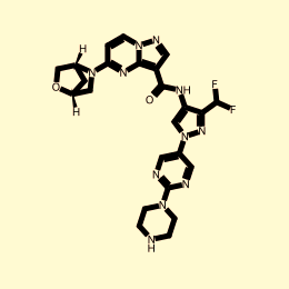 O=C(Nc1cn(-c2cnc(N3CCNCC3)nc2)nc1C(F)F)c1cnn2ccc(N3C[C@H]4C[C@@H]3CO4)nc12